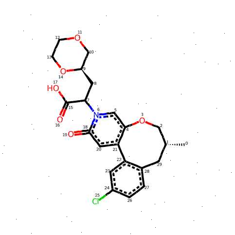 C[C@H]1COc2cn(C(C[C@@H]3COCCO3)C(=O)O)c(=O)cc2-c2cc(Cl)ccc2C1